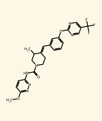 COc1ccc(NC(=O)N2CC/C(=C\c3cccc(Oc4ncc(C(F)(F)F)cn4)c3)C(C)C2)nn1